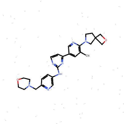 N#Cc1cc(-c2ccnc(Nc3ccc(CN4CCOCC4)nc3)n2)cnc1N1CCC2(COC2)C1